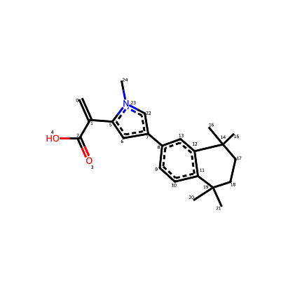 C=C(C(=O)O)c1cc(-c2ccc3c(c2)C(C)(C)CCC3(C)C)cn1C